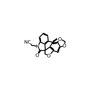 C=Cc1cccc2c1C1(COc3cc4c(cc31)OCO4)C(=O)N2CC#N